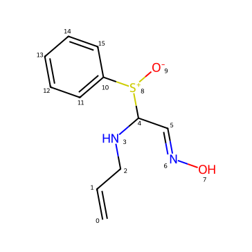 C=CCNC(C=NO)[S+]([O-])c1ccccc1